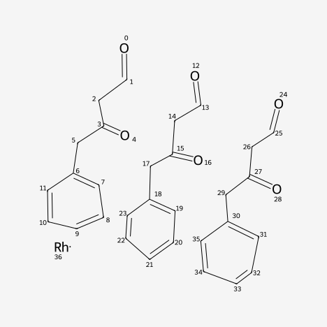 O=CCC(=O)Cc1ccccc1.O=CCC(=O)Cc1ccccc1.O=CCC(=O)Cc1ccccc1.[Rh]